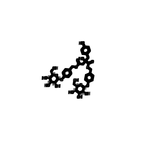 O=C(CC(O)(Cc1ccc(O)cc1)C(=O)OCc1ccc(O[C@@H]2O[C@H](CO)[C@@H](O)[C@H](O)[C@H]2O)cc1)OCc1ccc(O[C@@H]2O[C@H](CO)[C@@H](O)[C@H](O)[C@H]2O)cc1